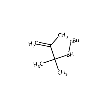 C=C(C)C(C)(C)BCCCC